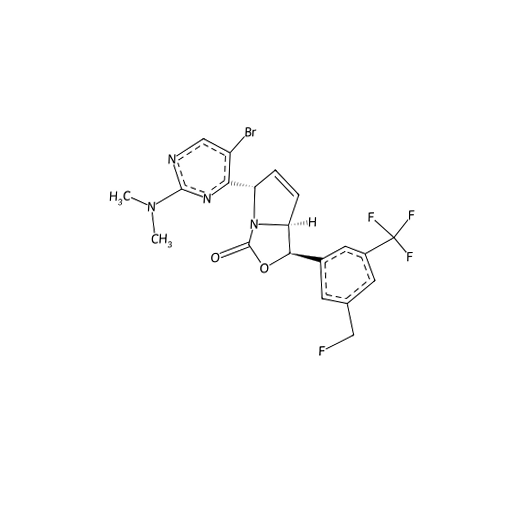 CN(C)c1ncc(Br)c([C@@H]2C=C[C@H]3[C@@H](c4cc(CF)cc(C(F)(F)F)c4)OC(=O)N23)n1